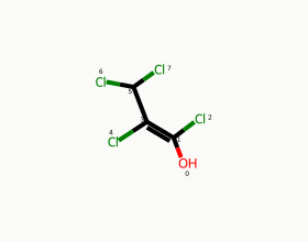 OC(Cl)=C(Cl)C(Cl)Cl